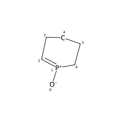 [O-][P+]1=CCCCC1